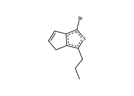 CCCc1sc(Br)c2c1CC=C2